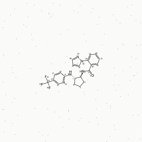 O=C(N[C@H]1CCC[C@@H]1Nc1ccc(C(F)(F)F)cn1)c1ccccc1-n1cccn1